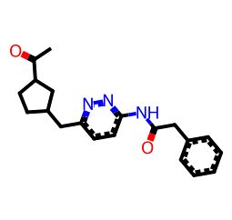 CC(=O)C1CCC(Cc2ccc(NC(=O)Cc3ccccc3)nn2)C1